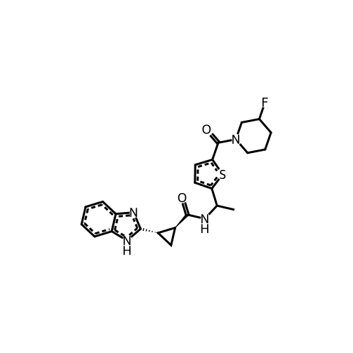 CC(NC(=O)[C@H]1C[C@@H]1c1nc2ccccc2[nH]1)c1ccc(C(=O)N2CCCC(F)C2)s1